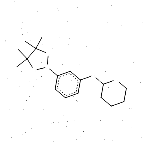 CC1(C)OB(c2cccc(OC3CCCCO3)c2)OC1(C)C